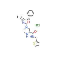 C[C@@H]1N=C(N2CCNC(C(=O)NCc3cccs3)C2)O[C@H]1c1ccccc1.Cl